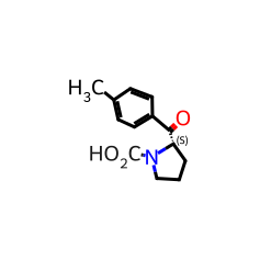 Cc1ccc(C(=O)[C@@H]2CCCN2C(=O)O)cc1